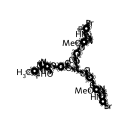 COc1cc2c(Nc3ccc(Br)cc3F)ncnc2cc1OCC1CCN(C(=O)OCCN(CCOC(=O)N2CCC(COc3cc4ncnc(Nc5ccc(C)cc5F)c4cc3CO)CC2)CCOC(=O)N2CCC(COc3cc4ncnc(Nc5ccc(Br)cc5F)c4cc3OC)CC2)CC1